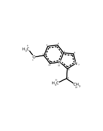 COc1ccc2cnc(C(C)C)n2c1